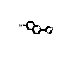 Brc1ccc2nc(-c3cncs3)ccc2c1